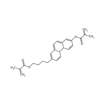 C=C(C)C(=O)OCCCCC1=CC2=CC=C3C=C(OC(=O)C(=C)C)C=CC3C2C=C1